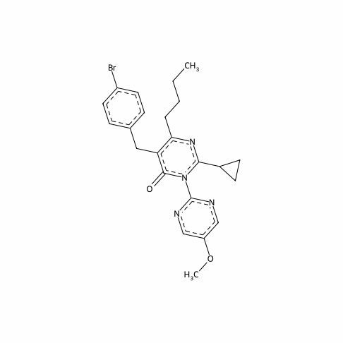 CCCCc1nc(C2CC2)n(-c2ncc(OC)cn2)c(=O)c1Cc1ccc(Br)cc1